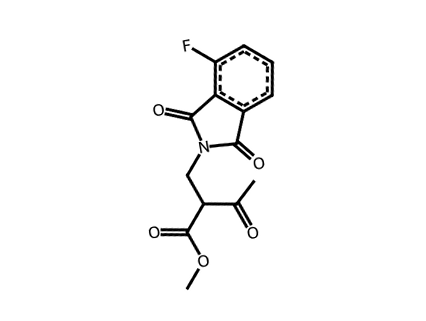 COC(=O)C(CN1C(=O)c2cccc(F)c2C1=O)C(C)=O